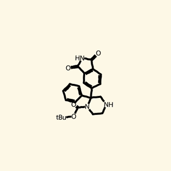 CC(C)(C)OC(=O)N1CCNCC1(c1ccccc1)c1ccc2c(c1)C(=O)NC2=O